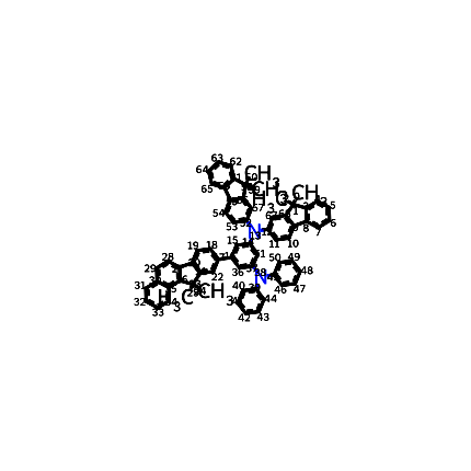 CC1(C)c2ccccc2-c2ccc(N(c3cc(-c4ccc5c(c4)C(C)(C)c4c-5ccc5ccccc45)cc(N(c4ccccc4)c4ccccc4)c3)c3ccc4c(c3)C(C)(C)c3ccccc3-4)cc21